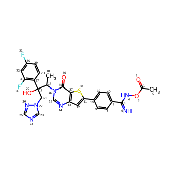 CC(=O)ONC(=N)c1ccc(-c2cc3ncn(C(C)C(O)(Cn4cncn4)c4ccc(F)cc4F)c(=O)c3s2)cc1